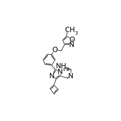 Cc1cc(COc2cccc(C3=NC(C4=CC=C4)=C4C=NC=C[N+]34N)c2)no1